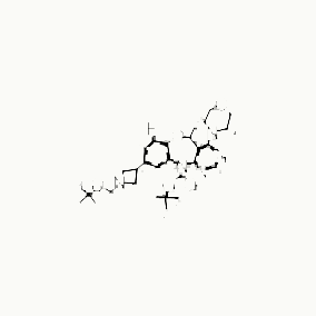 CC1Oc2c(F)cc(C3CN(COC(C)(C)C)C3)cc2N(C(=O)OC(C)(C)C)c2ncnc(N3CCOCC3)c21